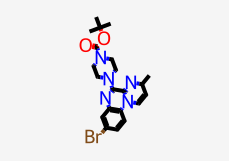 CC1C=CN2C(=N1)C(N1CCN(C(=O)OC(C)(C)C)CC1)=Nc1cc(Br)ccc12